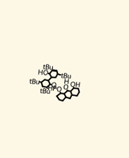 CC(C)(C)C1=CC(C(C)(C)C)CC(C2CC(C(C)(C)C)CC(C(C)(C)C)C2OPOC2CCCC3CC4CCCC(O)C4C(O)C32)C1O